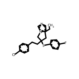 CCCCC(CCc1ccc(Cl)cc1)(Cn1ccnc1)Sc1ccc(F)cc1